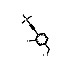 C[Si](C)(C)C#Cc1ccc(CO)cc1Cl